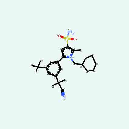 Cc1c(S(N)(=O)=O)cc(-c2cc(C(C)(C)C)cc(C(C)(C)C#N)c2)n1CC1CCCCC1